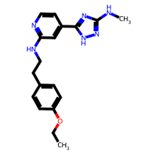 CCOc1ccc(CCNc2cc(-c3nc(NC)n[nH]3)ccn2)cc1